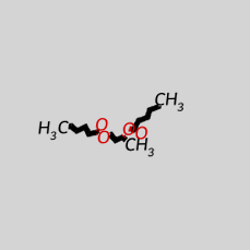 CCCCCC(=O)OCCC(C)OC(=O)CCCCC